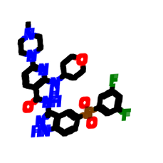 CN1CCN(c2ccc(C(=O)Nc3n[nH]c4ccc(S(=O)(=O)c5cc(F)cc(F)c5)cc34)c(NC3CCOCC3)n2)CC1